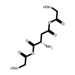 CCCCCCCCCCCC(=O)OC(=O)C[C@H](N)C(=O)OC(=O)CCCCCCCCCCC